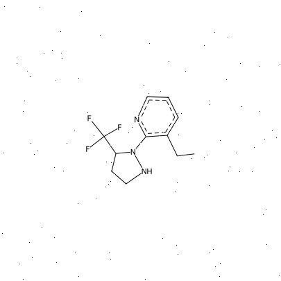 CCc1cccnc1N1NCCC1C(F)(F)F